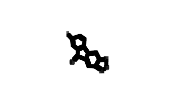 O=C1c2cc(I)ccc2-c2cc3nonc3cc21